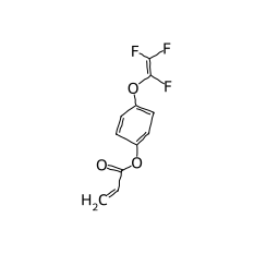 C=CC(=O)Oc1ccc(OC(F)=C(F)F)cc1